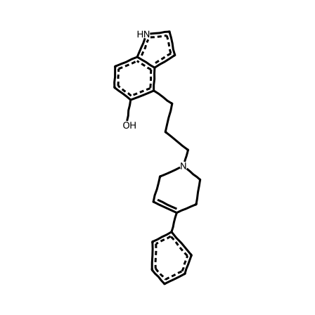 Oc1ccc2[nH]ccc2c1CCCN1CC=C(c2ccccc2)CC1